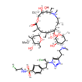 CC[C@H]1OC(=O)[C@H](C)[C@@H](C2C[C@@](C)(OC)[C@@H](O)[C@H](C)O2)[C@H](C)[C@@H](O[C@@H]2O[C@H](C)C[C@H](N(C)CCc3cn([C@H](CF)Cc4ccc(S(=O)(=O)NCCF)cc4)nn3)[C@H]2O)[C@](C)(O)C[C@@H](C)CN(C)[C@H](C)[C@@H](O)[C@]1(C)O